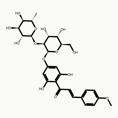 COc1ccc(/C=C/C(=O)c2c(O)cc(O[C@@H]3O[C@H](CO)[C@@H](O)[C@@H](O)[C@@H]3O[C@@H]3O[C@@H](C)[C@H](O)[C@H](O)[C@H]3O)cc2O)cc1